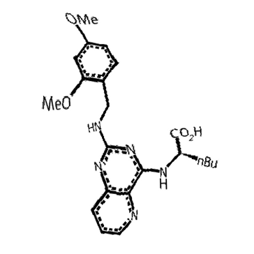 CCCC[C@@H](Nc1nc(NCc2ccc(OC)cc2OC)nc2cccnc12)C(=O)O